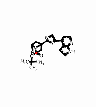 CC(C)(C)OC(=O)N1C2CNCC1(c1ncc(-c3ccnc4[nH]ccc34)s1)C2